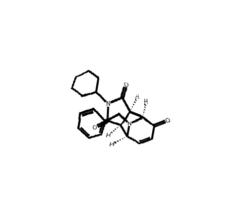 O=C1C=C[C@H]2[C@H]3C(=O)N(C4CCCCC4)C(=O)[C@H]3[C@@H]1N2Cc1ccccc1